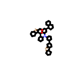 c1cc(-c2ccc3c(c2)sc2ccccc23)cc(N(c2cccc(-c3cccc4ccccc34)c2)c2ccccc2-c2cccc3sc4ccccc4c23)c1